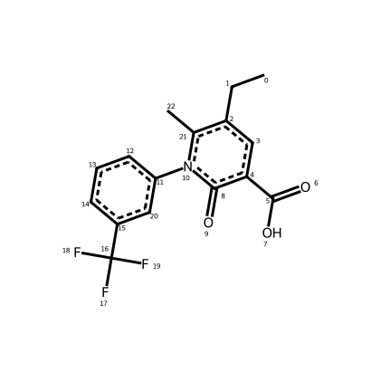 CCc1cc(C(=O)O)c(=O)n(-c2cccc(C(F)(F)F)c2)c1C